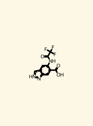 O=C(O)c1cc2n[nH]cc2cc1NC(=O)C(F)(F)F